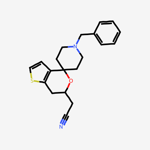 N#CCC1Cc2sccc2C2(CCN(Cc3ccccc3)CC2)O1